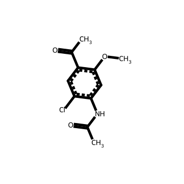 COc1cc(NC(C)=O)c(Cl)cc1C(C)=O